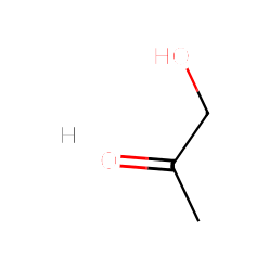 CC(=O)CO.[H+]